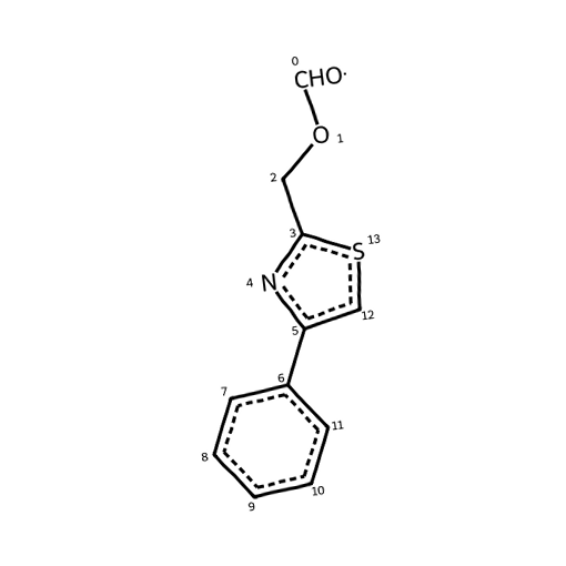 O=[C]OCc1nc(-c2ccccc2)cs1